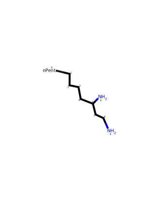 CCCCCCCCCC(N)CCN